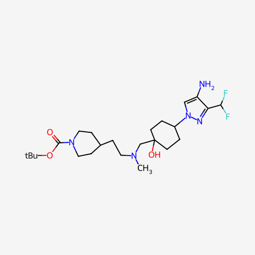 CN(CCC1CCN(C(=O)OC(C)(C)C)CC1)CC1(O)CCC(n2cc(N)c(C(F)F)n2)CC1